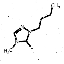 CCCCN1N=CN(C)C1F